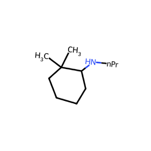 CCCNC1CCCCC1(C)C